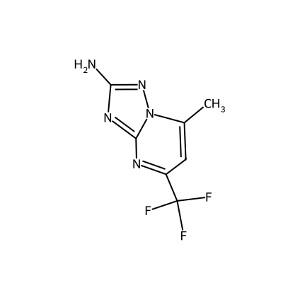 Cc1cc(C(F)(F)F)nc2nc(N)nn12